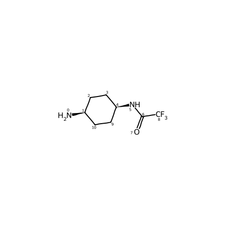 N[C@H]1CC[C@@H](NC(=O)C(F)(F)F)CC1